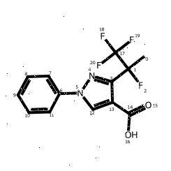 CC(F)(c1nn(-c2ccccc2)cc1C(=O)O)C(F)(F)F